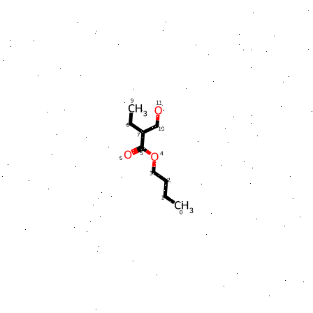 CCCCOC(=O)C(CC)C[O]